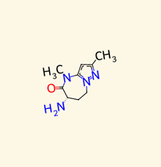 Cc1cc2n(n1)CC[C@H](N)C(=O)N2C